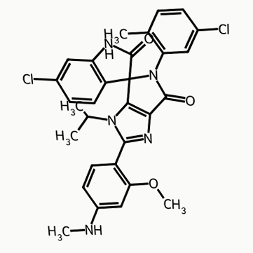 CNc1ccc(-c2nc3c(n2C(C)C)C2(C(=O)Nc4cc(Cl)ccc42)N(c2cc(Cl)ccc2C)C3=O)c(OC)c1